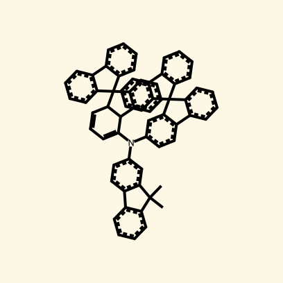 CC1(C)c2ccccc2-c2ccc(N(C3=CC=CC4C3c3ccccc3C43c4ccccc4-c4ccccc43)c3ccc4c(c3)C3(c5ccccc5-c5ccccc53)c3ccccc3-4)cc21